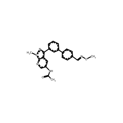 CO/N=C/c1ccc(-c2cccc(-c3nn(C)c4ncc(NC(C)=O)cc34)c2)cc1